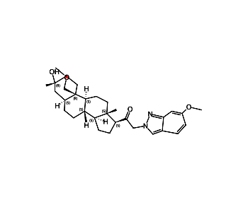 COC[C@]12CC[C@@](C)(O)C[C@@H]1CC[C@H]1[C@@H]3CC[C@H](C(=O)Cn4cc5ccc(OC)cc5n4)[C@@]3(C)CC[C@@H]12